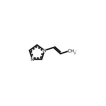 [CH2]C=Cn1ccnc1